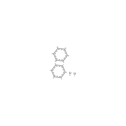 [Li].[Li].c1ccccc1.c1ccccc1